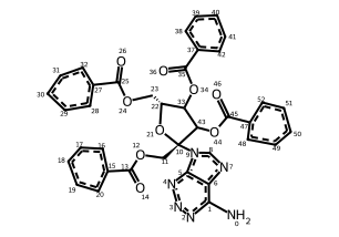 Nc1nnnc2c1ncn2[C@]1(COC(=O)c2ccccc2)O[C@H](COC(=O)c2ccccc2)C(OC(=O)c2ccccc2)C1OC(=O)c1ccccc1